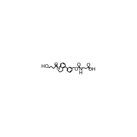 O=C(O)CCNC(=O)OCc1cccc(-c2cccc3c2CCCN3C(=O)CCCO)c1